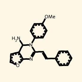 COc1ccc(N2C(C=Cc3ccccc3)=Nc3occc3C2N)cc1